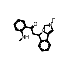 CNc1ccccc1C(=O)CC1c2ccccc2C2=CN(F)CN21